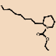 CCCCCCCCC1CCCCN1C(=O)OCC